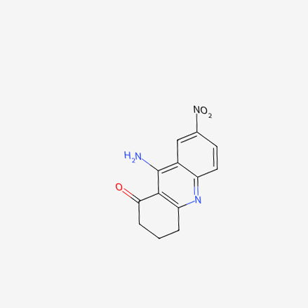 Nc1c2c(nc3ccc([N+](=O)[O-])cc13)CCCC2=O